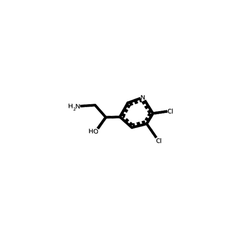 NCC(O)c1cnc(Cl)c(Cl)c1